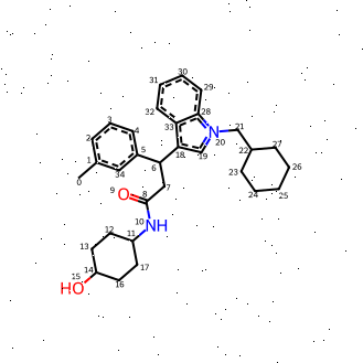 Cc1cccc(C(CC(=O)NC2CCC(O)CC2)c2cn(CC3CCCCC3)c3ccccc23)c1